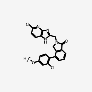 COc1ccc(-c2cccc3c2CN(Cc2nc4nc(Cl)ccc4[nH]2)C3=O)c(Cl)c1